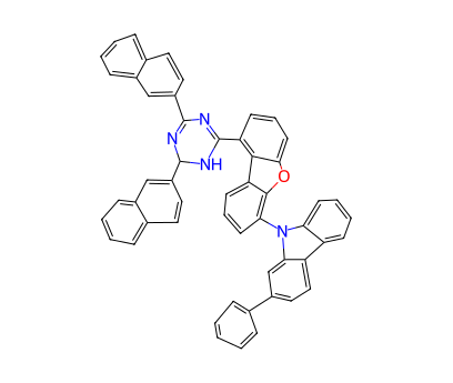 c1ccc(-c2ccc3c4ccccc4n(-c4cccc5c4oc4cccc(C6=NC(c7ccc8ccccc8c7)=NC(c7ccc8ccccc8c7)N6)c45)c3c2)cc1